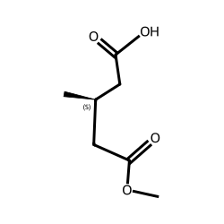 COC(=O)C[C@@H](C)CC(=O)O